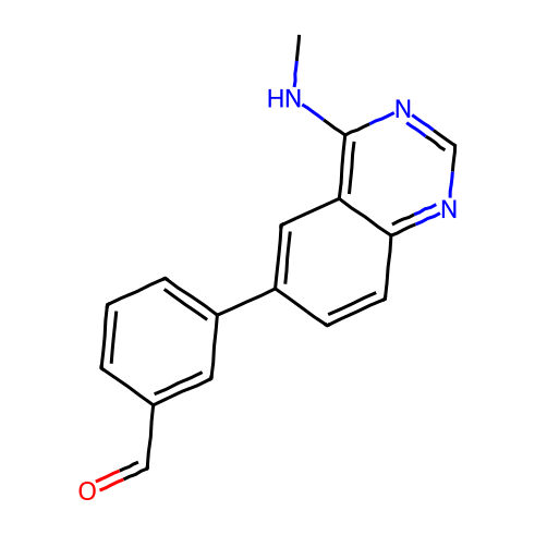 CNc1ncnc2ccc(-c3cccc(C=O)c3)cc12